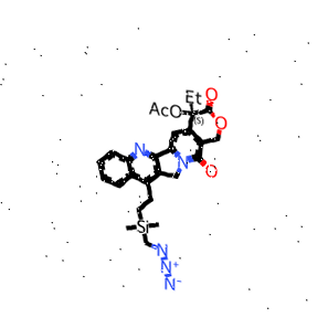 CC[C@@]1(OC(C)=O)C(=O)OCc2c1cc1n(c2=O)Cc2c-1nc1ccccc1c2CC[Si](C)(C)CN=[N+]=[N-]